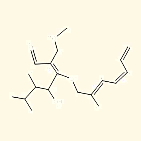 C=C/C=C\C=C(/C)CO/C(=C(/C=O)COC)C(O)C(C)C(C)C